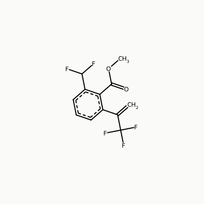 C=C(c1cccc(C(F)F)c1C(=O)OC)C(F)(F)F